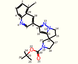 Cc1cccc2ncc(-c3cc4n(n3)CCC43CCN(C(=O)OC(C)(C)C)C3)cc12